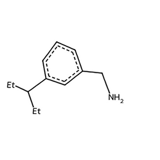 CCC(CC)c1cccc(CN)c1